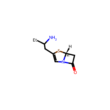 CCC(N)CC1=CN2C(=O)C[C@H]2S1